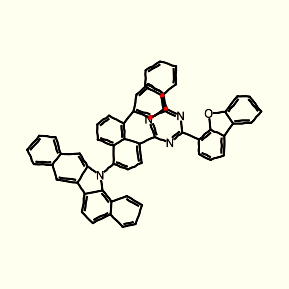 c1ccc(-c2nc(-c3cccc4c3oc3ccccc34)nc(-c3ccc(-n4c5cc6ccccc6cc5c5ccc6ccccc6c54)c4cccc(-c5ccccc5)c34)n2)cc1